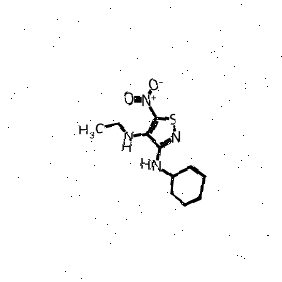 CCNc1c(NC2CCCCC2)nsc1[N+](=O)[O-]